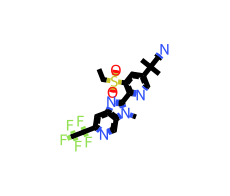 CCS(=O)(=O)c1cc(C(C)(C)C#N)cnc1-c1nc2cc(C(F)(F)C(F)(F)F)ncc2n1C